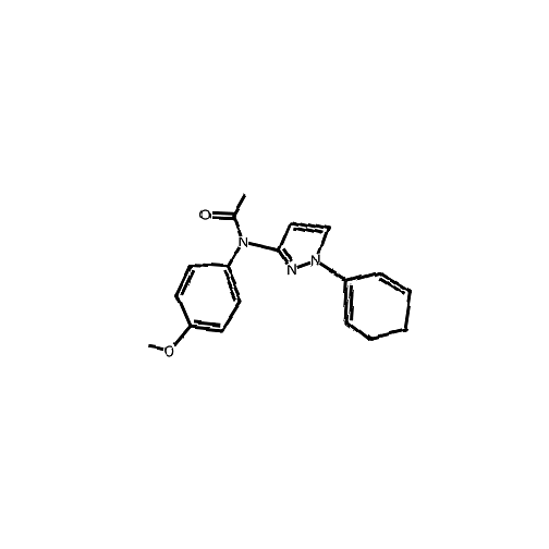 COc1ccc(N(C(C)=O)c2ccn(C3=CCCC=C3)n2)cc1